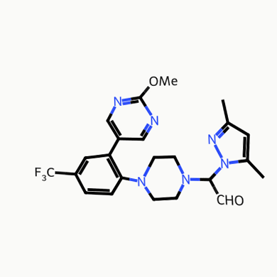 COc1ncc(-c2cc(C(F)(F)F)ccc2N2CCN(C(C=O)n3nc(C)cc3C)CC2)cn1